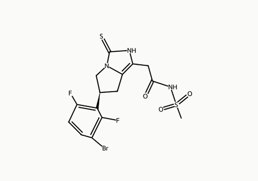 CS(=O)(=O)NC(=O)Cc1[nH]c(=S)n2c1C[C@@H](c1c(F)ccc(Br)c1F)C2